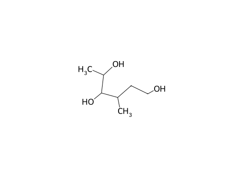 CC(O)C(O)C(C)CCO